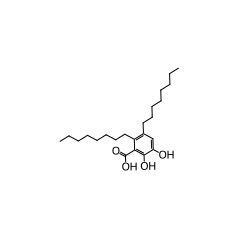 CCCCCCCCc1cc(O)c(O)c(C(=O)O)c1CCCCCCCC